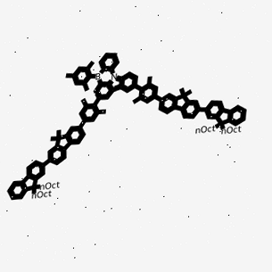 CCCCCCCCC1(CCCCCCCC)c2ccccc2-c2ccc(-c3ccc4c(c3)C(C)(C)c3cc(-c5cc(C)c(-c6ccc7c(c6)c6cc(-c8c(C)cc(-c9ccc%10c(c9)C(C)(C)c9cc(-c%11ccc%12c(c%11)C(CCCCCCCC)(CCCCCCCC)c%11ccccc%11-%12)ccc9-%10)cc8C)cc8c6n7-c6ccccc6B8c6c(C)cc(C)cc6C)c(C)c5)ccc3-4)cc21